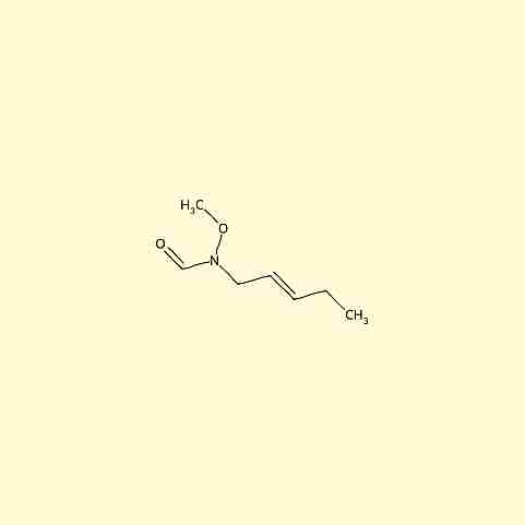 CC/C=C/CN(C=O)OC